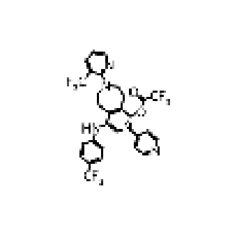 O=C(OC1C2=C(CCN(c3ncccc3C(F)(F)F)CC2)C(Nc2ccc(C(F)(F)F)cc2)=CN1c1ccncc1)C(F)(F)F